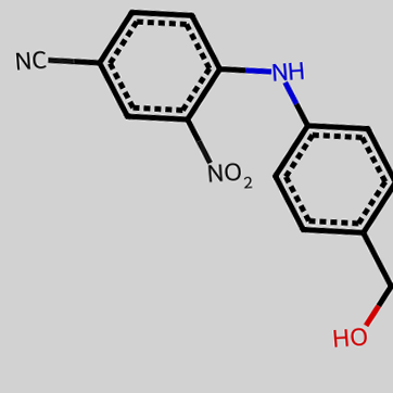 N#Cc1ccc(Nc2ccc(CO)cc2)c([N+](=O)[O-])c1